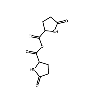 O=C1CCC(C(=O)OC(=O)C2CCC(=O)N2)N1